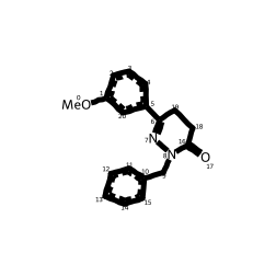 COc1cccc(C2=NN(Cc3ccccc3)C(=O)CC2)c1